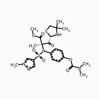 COC(=O)[C@@](C)(C(=O)[C@H]1NC(C)(C)CS1)N(c1ccc(OC(=O)N(C)C)cc1)S(=O)(=O)c1cnn(C)c1